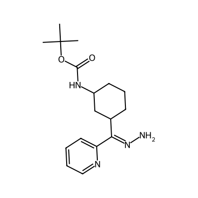 CC(C)(C)OC(=O)NC1CCCC(/C(=N\N)c2ccccn2)C1